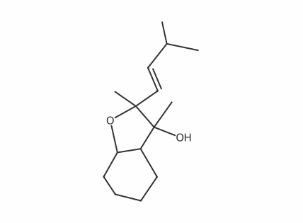 CC(C)C=CC1(C)OC2CCCCC2C1(C)O